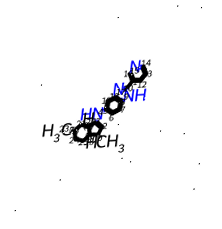 CC1C=C(Nc2ccc3[nH]c(-c4cccnc4)nc3c2)[C@@H]2C[C@H](C)CC[C@@H]12